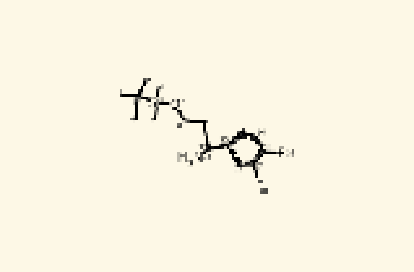 CC(C)(C)[Si](C)(C)OCCC(N)c1ccc(F)c(F)c1